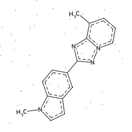 Cc1cccn2nc(-c3ccc4c(ccn4C)c3)nc12